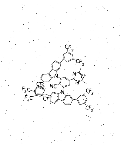 Cc1nc(C)nc(-c2cc(-n3c4cc(-c5cc(C(F)(F)F)cc(C(F)(F)F)c5)ccc4c4ccc(-c5cc(C(F)(F)F)cc(C(F)(F)F)c5)cc43)c(C#N)c(-n3c4cc(-c5cc(C(F)(F)F)cc(C(F)(F)F)c5)ccc4c4ccc(-c5cc(C(F)(F)F)cc(C(F)(F)F)c5)cc43)c2)n1